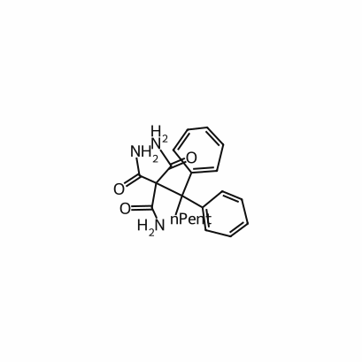 CCCCCC(c1ccccc1)(c1ccccc1)C(C(N)=O)(C(N)=O)C(N)=O